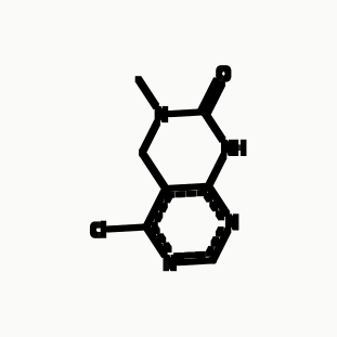 CN1Cc2c(Cl)ncnc2NC1=O